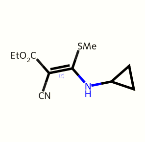 CCOC(=O)/C(C#N)=C(/NC1CC1)SC